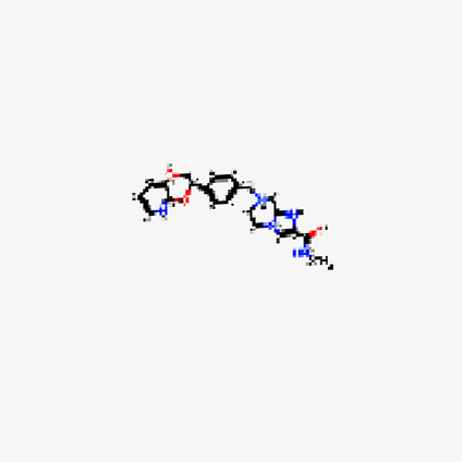 CNC(=O)c1cn2c(n1)CN(Cc1ccc(C3COc4cccnc4O3)cc1)CC2